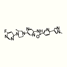 C[C@H]1CN(c2cnc(NC(=O)c3ccc(-c4cnn(C)c4)nc3)cn2)CCN1c1cc(F)ncn1